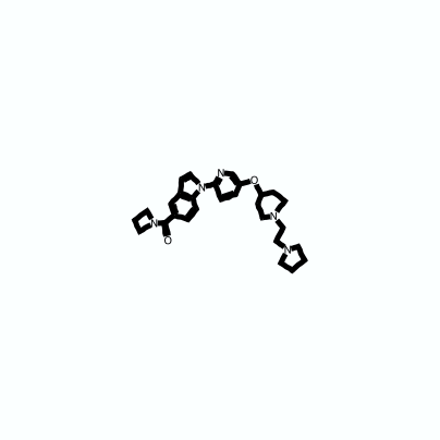 O=C(c1ccc2c(ccn2-c2ccc(OC3CCN(CCN4CCCC4)CC3)cn2)c1)N1CCC1